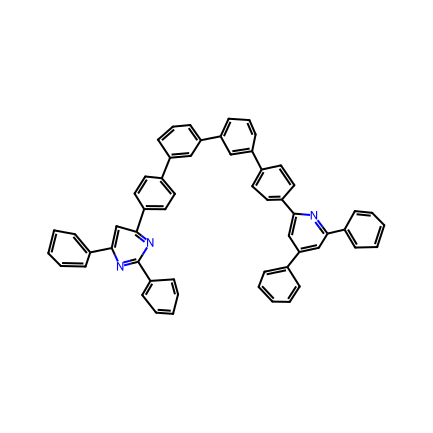 c1ccc(-c2cc(-c3ccccc3)nc(-c3ccc(-c4cccc(-c5cccc(-c6ccc(-c7cc(-c8ccccc8)nc(-c8ccccc8)n7)cc6)c5)c4)cc3)c2)cc1